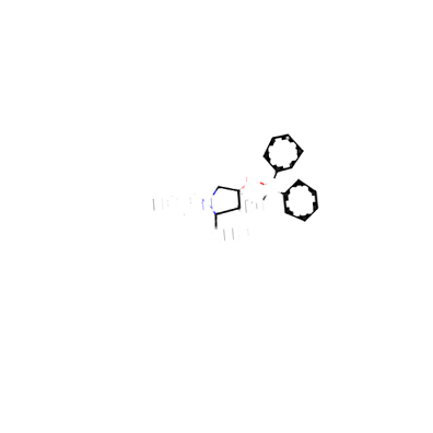 CC(C)(C)[Si](O[C@H]1CC(C=O)N(C(=O)O)C1)(c1ccccc1)c1ccccc1